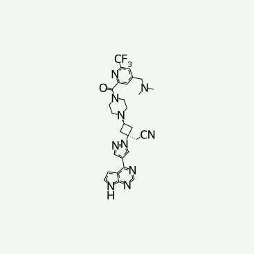 CN(C)Cc1cc(C(=O)N2CCN([C@H]3C[C@@](CC#N)(n4cc(-c5ncnc6[nH]ccc56)cn4)C3)CC2)nc(C(F)(F)F)c1